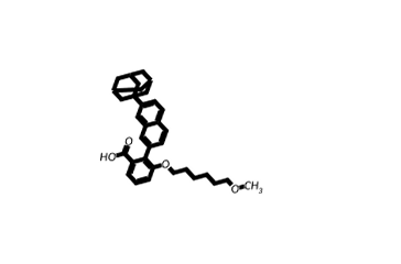 COCCCCCCOc1cccc(C(=O)O)c1-c1ccc2ccc(C34CC5CC(CC(C5)C3)C4)cc2c1